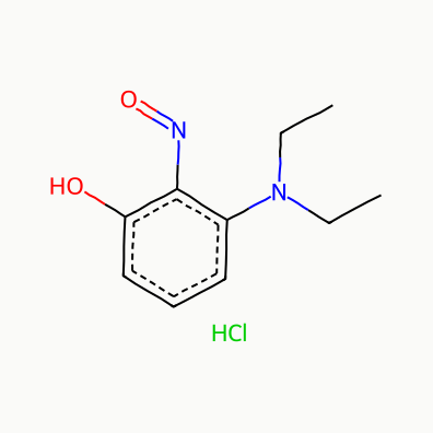 CCN(CC)c1cccc(O)c1N=O.Cl